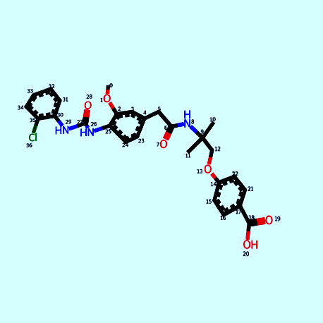 COc1cc(CC(=O)NC(C)(C)COc2ccc(C(=O)O)cc2)ccc1NC(=O)Nc1ccccc1Cl